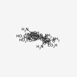 CC(C)C[C@H](NC(=O)[C@@H]1CCCN1C(=O)[C@H](CC(N)=O)NC(=O)[C@H](CCCCN)NC(=O)[C@H](CCC(=O)O)NC(=O)[C@@H](N)CCC(N)=O)C(=O)N1CCC[C@H]1C(=O)N[C@@H](CO)C(=O)N[C@@H](CCCCN)C(=O)N[C@@H](CCC(=O)O)C(=O)N[C@H](C(=O)O)[C@@H](C)O